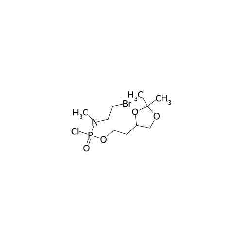 CN(CCBr)P(=O)(Cl)OCCC1COC(C)(C)O1